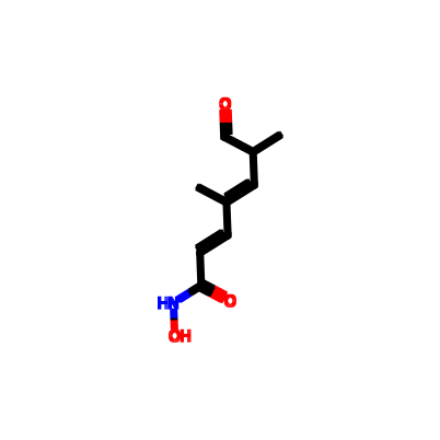 CC(/C=C/C(=O)NO)=C\C(C)C=O